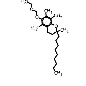 CCCCCCCCCC1(C)CCc2c(C)c(OCOCO)c(C)c(C)c2O1